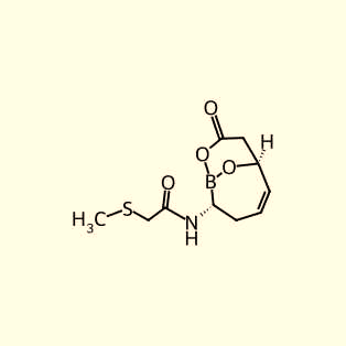 CSCC(=O)N[C@H]1CC=C[C@@H]2CC(=O)OB1O2